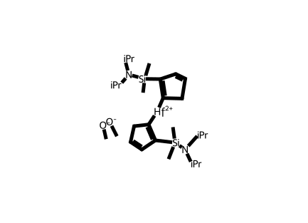 CC(C)N(C(C)C)[Si](C)(C)C1=[C]([Hf+2][C]2=C([Si](C)(C)N(C(C)C)C(C)C)C=CC2)CC=C1.C[O-].C[O-]